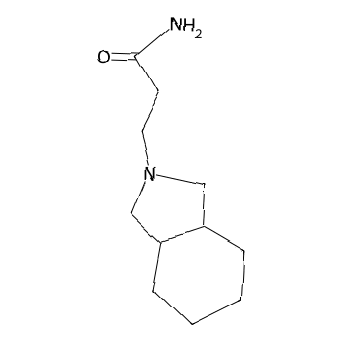 NC(=O)CCN1CC2CCCCC2C1